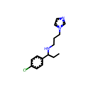 CCC(NCCCn1ccnc1)c1ccc(Cl)cc1